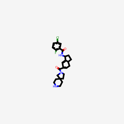 O=C(NC1CCC2CC=C(C(=O)N3CCC4(CCNCC4)C3)C=C21)c1cc(Cl)ccc1F